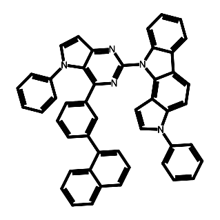 c1ccc(-n2ccc3c2ccc2c4ccccc4n(-c4nc(-c5cccc(-c6cccc7ccccc67)c5)c5c(ccn5-c5ccccc5)n4)c23)cc1